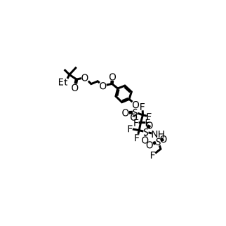 CCC(C)(C)C(=O)OCCOC(=O)c1ccc(OS(=O)(=O)C(F)(F)C(F)(F)C(F)(F)S(=O)(=O)NS(=O)(=O)CF)cc1